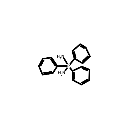 NP(N)(c1ccccc1)(c1ccccc1)c1ccccc1